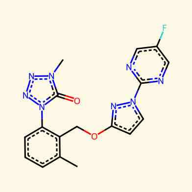 Cc1cccc(-n2nnn(C)c2=O)c1COc1ccn(-c2ncc(F)cn2)n1